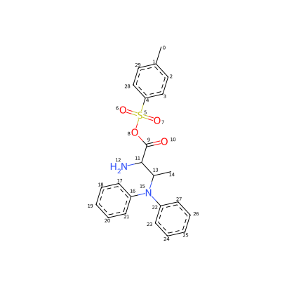 Cc1ccc(S(=O)(=O)OC(=O)C(N)C(C)N(c2ccccc2)c2ccccc2)cc1